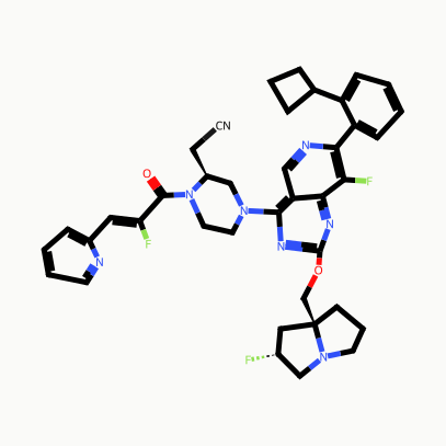 N#CC[C@H]1CN(c2nc(OC[C@@]34CCCN3C[C@H](F)C4)nc3c(F)c(-c4ccccc4C4CCC4)ncc23)CCN1C(=O)/C(F)=C/c1ccccn1